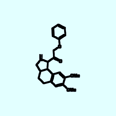 COc1cc2c(cc1OC)C1C(CC2)CNC1C(=O)COc1ccccc1